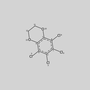 Clc1c(Cl)c(Cl)c2c(c1Cl)OCCO2